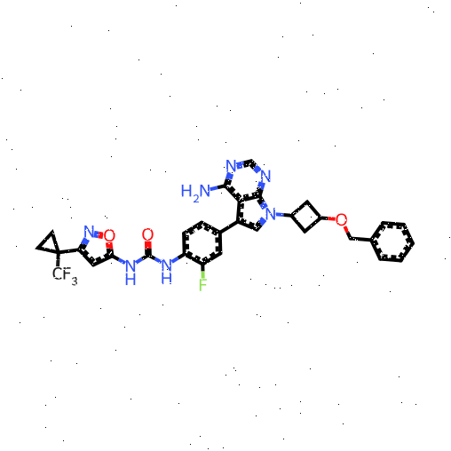 Nc1ncnc2c1c(-c1ccc(NC(=O)Nc3cc(C4(C(F)(F)F)CC4)no3)c(F)c1)cn2C1CC(OCc2ccccc2)C1